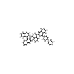 c1ccc(-c2ccc(-c3nc(-c4ccc(-n5c6ccc7ccccc7c6c6c7ccccc7ccc65)c5ccccc45)nc4ccccc34)cc2)cc1